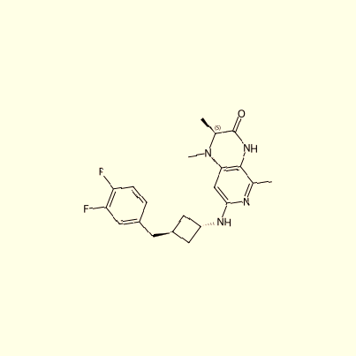 Cc1nc(N[C@H]2C[C@H](Cc3ccc(F)c(F)c3)C2)cc2c1NC(=O)[C@H](C)N2C